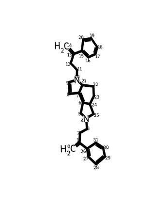 C=C(CCN1CC2=C3C=CN(CCC(=C)c4ccccc4)C3CCC2C1)c1ccccc1